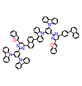 c1ccc2oc(-c3cc(-c4ccc(-c5cccc6ccccc56)cc4)nc(-c4cc(-n5c6ccccc6c6ccccc65)cc(-n5c6ccccc6c6c(-c7cccc8c(-c9cc(-c%10cc%11ccccc%11o%10)nc(-c%10cc(-n%11c%12ccccc%12c%12ccccc%12%11)cc(-n%11c%12ccccc%12c%12ccccc%12%11)c%10)n9)cccc78)cccc65)c4)n3)cc2c1